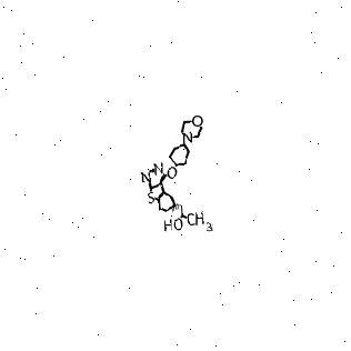 CC(O)C[C@@H]1CCc2sc3ncnc(O[C@H]4CC[C@H](N5CCOCC5)CC4)c3c2C1